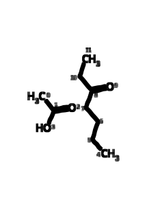 CC(=O)O.CCCCC(=O)CC